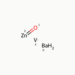 [BaH2].[O]=[Zn].[V]